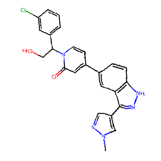 Cn1cc(-c2n[nH]c3ccc(-c4ccn(C(CO)c5cccc(Cl)c5)c(=O)c4)cc23)cn1